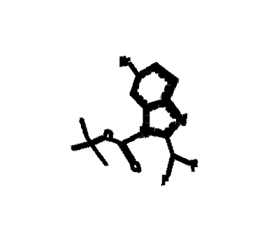 CC(C)(C)OC(=O)n1c(C(F)F)nc2ccc(Br)cc21